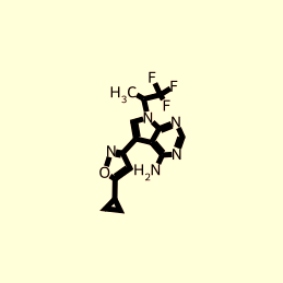 CC(n1cc(-c2cc(C3CC3)on2)c2c(N)ncnc21)C(F)(F)F